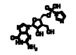 Nc1nc2c(ncn2[C@@H]2O[C@H](COP(=O)(O)n3ccnc3)[C@@H](CO)[C@H]2O)c(=O)[nH]1